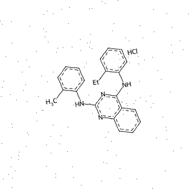 CCc1ccccc1Nc1nc(Nc2ccccc2C)nc2ccccc12.Cl